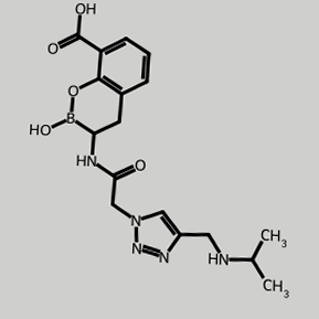 CC(C)NCc1cn(CC(=O)NC2Cc3cccc(C(=O)O)c3OB2O)nn1